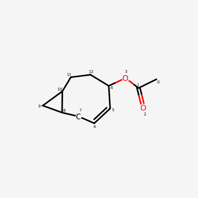 CC(=O)OC1/C=C\CC2CC2CC1